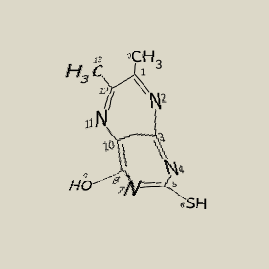 Cc1nc2nc(S)nc(O)c2nc1C